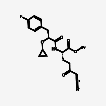 CC(C)OC(=O)[C@H](CCC(=O)C=[N+]=[N-])NC(=O)[C@H](Cc1ccc(F)cc1)OC1CC1